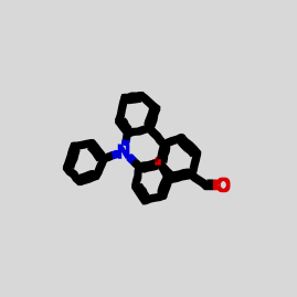 O=Cc1ccc(-c2ccccc2N(c2ccccc2)c2ccccc2)cc1